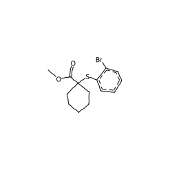 COC(=O)C1(Sc2ccccc2Br)CCCCC1